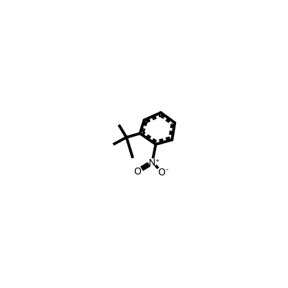 CC(C)(C)c1ccccc1[N+](=O)[O-]